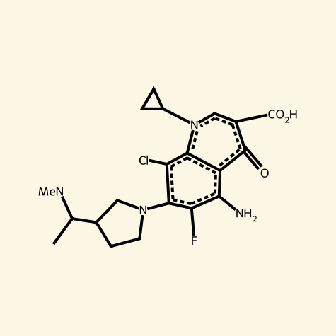 CNC(C)C1CCN(c2c(F)c(N)c3c(=O)c(C(=O)O)cn(C4CC4)c3c2Cl)C1